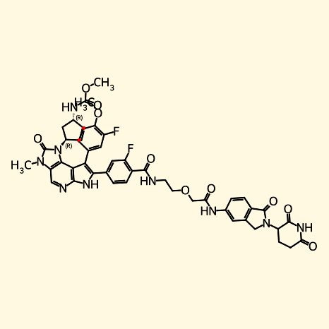 COC(=O)N[C@@H]1CC[C@@H](n2c(=O)n(C)c3cnc4[nH]c(-c5ccc(C(=O)NCCOCC(=O)Nc6ccc7c(c6)CN(C6CCC(=O)NC6=O)C7=O)c(F)c5)c(-c5ccc(OC)c(F)c5)c4c32)C1